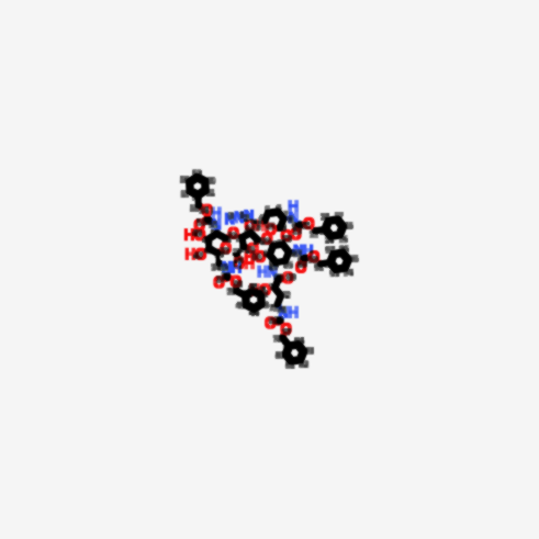 [N-]=[N+]=NC[C@@H]1C=C[C@@H](NC(=O)OCc2ccccc2)[C@@H](O[C@H]2[C@H](O[C@@H]3O[C@H](CO)[C@@H](O[C@H]4O[C@@H](CNC(=O)OCc5ccccc5)[C@@H](O)[C@H](O)[C@H]4NC(=O)OCc4ccccc4)[C@H]3O)[C@@H](O)[C@H](NC(=O)[C@@H](O)CCNC(=O)OCc3ccccc3)C[C@@H]2NC(=O)OCc2ccccc2)O1